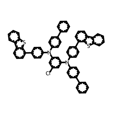 Clc1cc(N(c2ccc(-c3ccccc3)cc2)c2ccc(-c3cccc4c3sc3ccccc34)cc2)cc(N(c2ccc(-c3ccccc3)cc2)c2ccc(-c3cccc4c3sc3ccccc34)cc2)c1